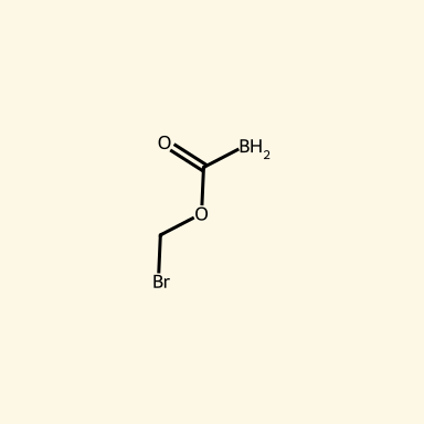 BC(=O)OCBr